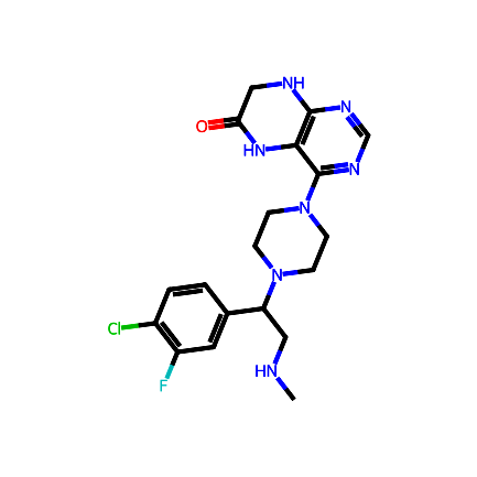 CNCC(c1ccc(Cl)c(F)c1)N1CCN(c2ncnc3c2NC(=O)CN3)CC1